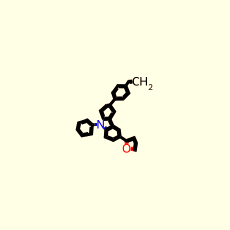 C=Cc1ccc(-c2ccc3c(c2)c2cc(-c4ccco4)ccc2n3-c2ccccc2)cc1